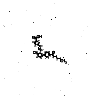 CCCCCC(=O)c1ccc(N2CCC(Cl)[C@@H]2COCc2ccc(C(=O)O)s2)cc1